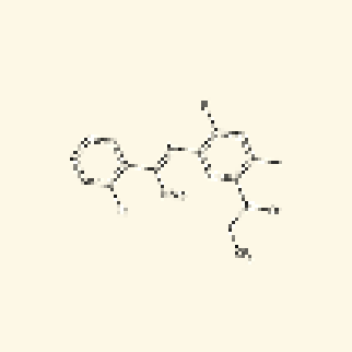 CN/C(=N\c1cc([S+]([O-])CC(F)(F)F)c(C)cc1F)c1ccccc1Cl